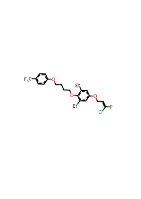 CCc1cc(OC/C=C(/F)Cl)cc(CC)c1OCCCCOc1ccc(C(F)(F)F)cc1